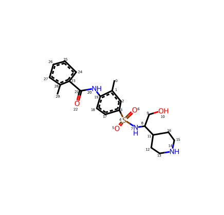 Cc1cc(S(=O)(=O)NC(CO)C2CCNCC2)ccc1NC(=O)c1ccccc1C